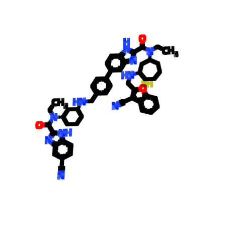 CCN(C(=O)c1nc2cc(C#N)ccc2[nH]1)[C@H]1CCC[C@@H](NCc2ccc(-c3ccc4[nH]c(C(=O)N(CC)[C@H]5CCC[C@H](S)[C@@H](NCc6oc7ccccc7c6C#N)C5)nc4c3)cc2)C1